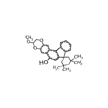 COC1COc2cc3c4c(cc(O)c3cc2O1)C1(CC(C)(C)CC(C)(C)C1)c1ccccc1-4